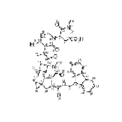 CCC(CC)C(C(=O)N(C)C(CC(=O)O)C(=O)N(C)C)N(C)C(=O)C1(N(C)C(=O)[C@@H]2CC3(CC3)CN2C(=O)OCC2c3ccccc3-c3ccccc32)CC(C)(C)C1